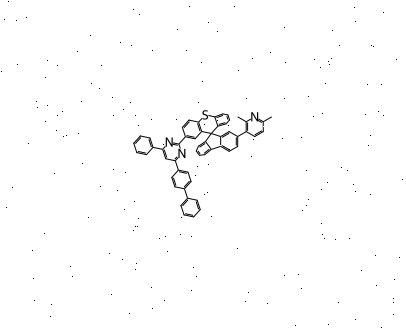 Cc1ccc(-c2ccc3c(c2)C2(c4ccccc4Sc4ccc(-c5nc(-c6ccccc6)cc(-c6ccc(-c7ccccc7)cc6)n5)cc42)c2ccccc2-3)c(C)n1